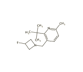 Cc1ccc(CN2CC(F)C2)c(C(C)(C)C)n1